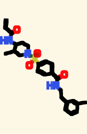 C=CC(=O)NC1CCN(S(=O)(=O)c2ccc(C(=O)NCCc3cccc(C)c3)cc2)CC1C